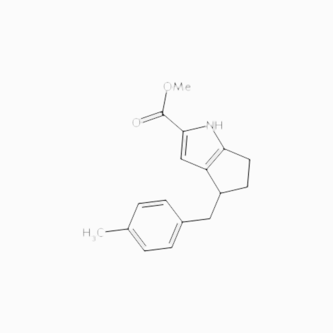 COC(=O)c1cc2c([nH]1)CCC2Cc1ccc(C)cc1